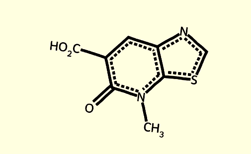 Cn1c(=O)c(C(=O)O)cc2ncsc21